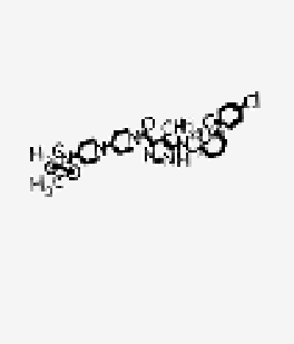 Cc1c(NC[C@@H]2CCC[C@H](C3(C)C=CC(Cl)=CC3)O2)ncnc1C(=O)N1CCC(N2CCC(N(C)S(C)(=O)=O)CC2)CC1